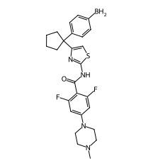 Bc1ccc(C2(c3csc(NC(=O)c4c(F)cc(N5CCN(C)CC5)cc4F)n3)CCCC2)cc1